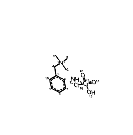 C[N+](C)(C)Cc1ccccc1.N.[O]=[Cr](=[O])([OH])[Cl]